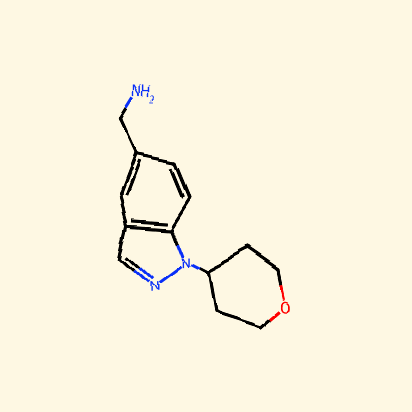 NCc1ccc2c(cnn2C2CCOCC2)c1